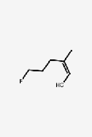 CC(=CO)CCCF